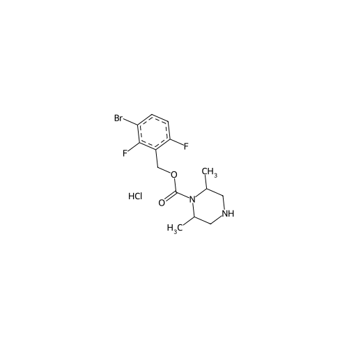 CC1CNCC(C)N1C(=O)OCc1c(F)ccc(Br)c1F.Cl